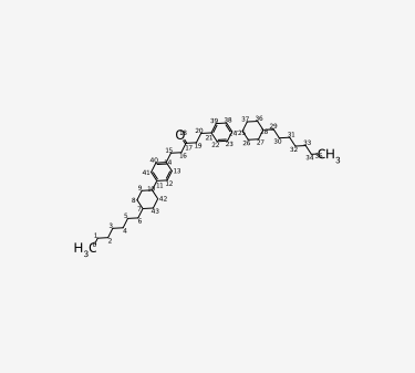 CCCCCCCC1CCC(c2ccc(CCC(=O)CCc3ccc([C@H]4CC[C@H](CCCCCCC)CC4)cc3)cc2)CC1